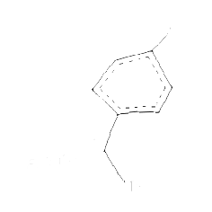 CCOC(=O)[C@H](c1ccc(Cl)cc1)C(C)C